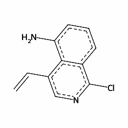 C=Cc1cnc(Cl)c2cccc(N)c12